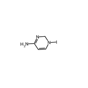 NC1=NCN(I)C=C1